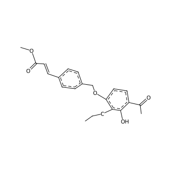 CCCc1c(OCc2ccc(C=CC(=O)OC)cc2)ccc(C(C)=O)c1O